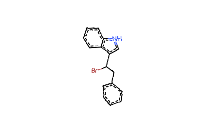 BrC(Cc1ccccc1)c1c[nH]c2ccccc12